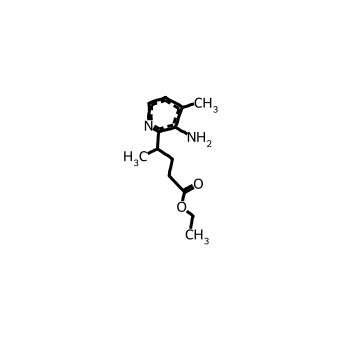 CCOC(=O)CCC(C)c1nccc(C)c1N